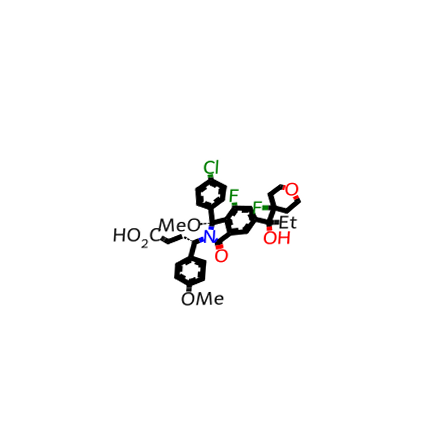 CCC(O)(c1cc(F)c2c(c1)C(=O)N([C@@H](CCC(=O)O)c1ccc(OC)cc1)[C@@]2(OC)c1ccc(Cl)cc1)C1(F)CCOCC1